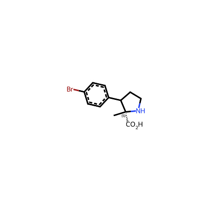 C[C@]1(C(=O)O)NCCC1c1ccc(Br)cc1